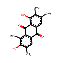 COc1cc2c(c(O)c1OC)C(=O)c1c(cc(C)c(O)c1OC)C2=O